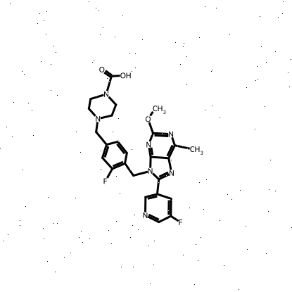 COc1nc(C)c2nc(-c3cncc(F)c3)n(Cc3ccc(CN4CCN(C(=O)O)CC4)cc3F)c2n1